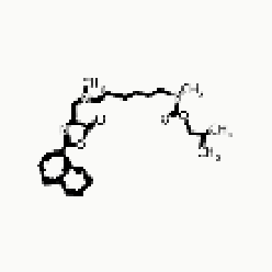 CC(C)COC(=O)N(C)CCCCCCN(C)/C=C1/N=C(c2cccc3ccccc23)OC1=O